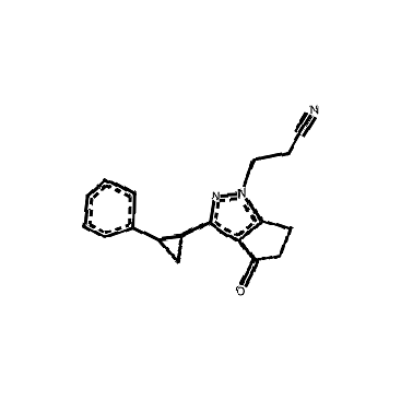 N#CCCn1nc(C2CC2c2ccccc2)c2c1CCC2=O